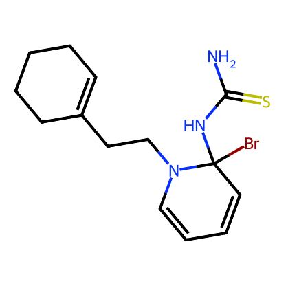 NC(=S)NC1(Br)C=CC=CN1CCC1=CCCCC1